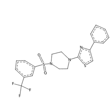 O=S(=O)(c1cccc(C(F)(F)F)c1)N1CCN(c2nc(-c3ccccc3)cs2)CC1